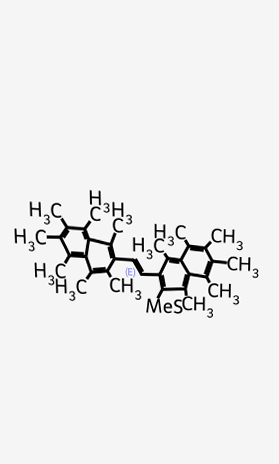 CSc1c(/C=C/c2c(C)c(C)c3c(C)c(C)c(C)c(C)c3c2C)c(C)c2c(C)c(C)c(C)c(C)c2c1C